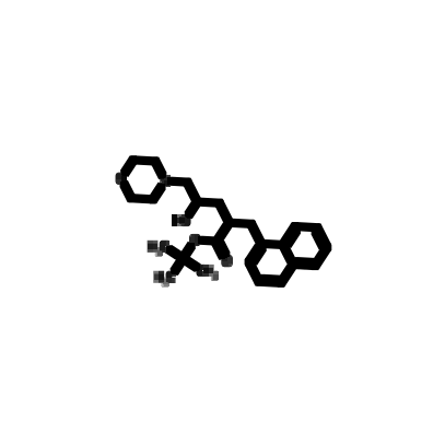 CC(C)(C)OC(=O)C(Cc1cccc2ccccc12)CC(O)CN1CCOCC1